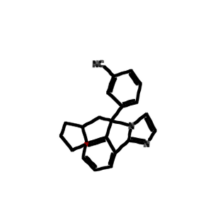 N#Cc1cccc(C2(CC3CCCC3)c3ccccc3-c3nccn32)c1